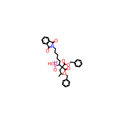 CC(C)CC(C(=O)OCc1ccccc1)(C(=O)OCc1ccccc1)C(CCCCCN1C(=O)c2ccccc2C1=O)[PH](=O)O